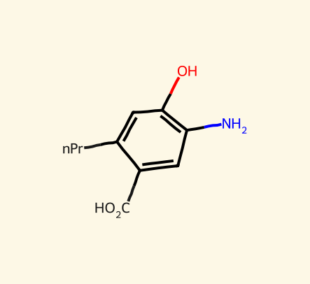 CCCc1cc(O)c(N)cc1C(=O)O